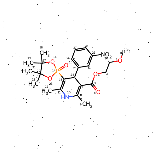 CCCOCCOC(=O)C1=C(C)NC(C)=C(P2(=O)OC(C)(C)C(C)(C)O2)C1c1cccc([N+](=O)[O-])c1